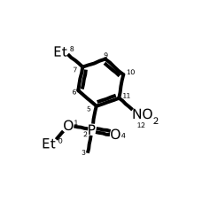 CCOP(C)(=O)c1cc(CC)ccc1[N+](=O)[O-]